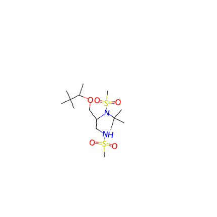 CC(OCC(CNS(C)(=O)=O)N(C(C)(C)C)S(C)(=O)=O)C(C)(C)C